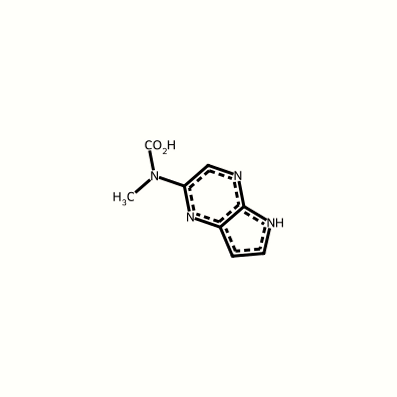 CN(C(=O)O)c1cnc2[nH]ccc2n1